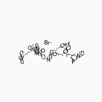 C/C(=C\c1cc(F)cc(N2CCOCC2)c1)[C@H]1OC(=O)C[C@H](O)CC[C@H](C)[C@@H](OC(=O)N2CC[N+](C)(Cc3ccc(NC(=O)C(C)NC(=O)C(NC(=O)CCCCCN4C(=O)C=CC4=O)C(C)C)cc3)CC2)/C=C/[C@@H]1C.[Br-]